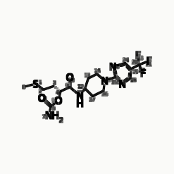 CSCC[C@@H](OC(N)=O)C(=O)NC1CCN(c2ncc(C(F)(F)F)cn2)CC1